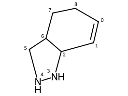 C1=CC2NNCC2CC1